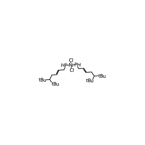 CC(C)(C)C(CC=CC[PH][Ni]([Cl])([Cl])[PH]CC=CCC(C(C)(C)C)C(C)(C)C)C(C)(C)C